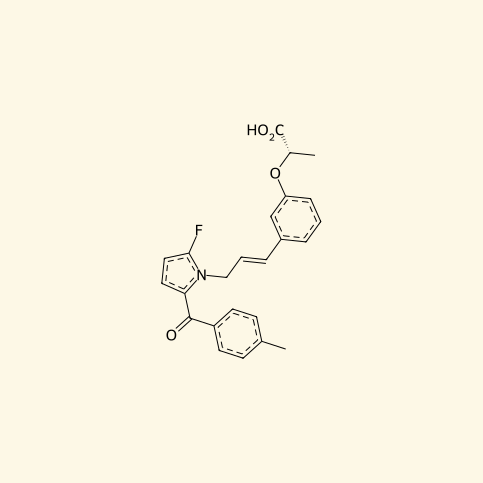 Cc1ccc(C(=O)c2ccc(F)n2C/C=C/c2cccc(O[C@@H](C)C(=O)O)c2)cc1